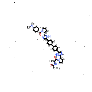 CCN(CC)[C@H]1CC[C@@H](C(=O)N2CCC[C@H]2c2ncc(-c3ccc(-c4ccc(-c5cnc(C6CCCN6C(=O)[C@@H](NC(=O)OC)C(C)C)[nH]5)cc4)cc3)[nH]2)CC1